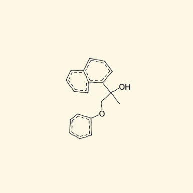 CC(O)(COc1ccccc1)c1cccc2ccccc12